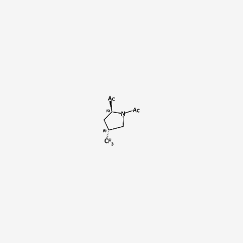 CC(=O)[C@@H]1C[C@@H](C(F)(F)F)CN1C(C)=O